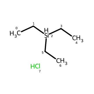 CC[SiH](CC)CC.Cl